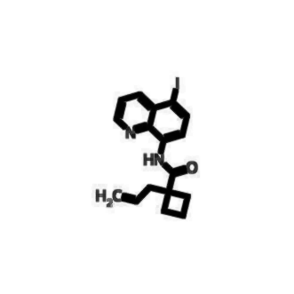 C=CCC1(C(=O)Nc2ccc(I)c3cccnc23)CCC1